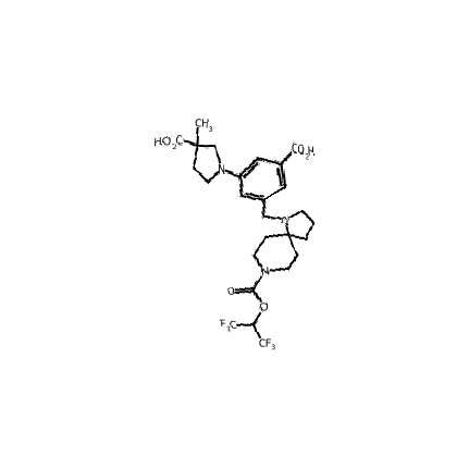 CC1(C(=O)O)CCN(c2cc(CN3CCCC34CCN(C(=O)OC(C(F)(F)F)C(F)(F)F)CC4)cc(C(=O)O)c2)C1